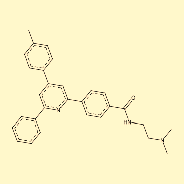 Cc1ccc(-c2cc(-c3ccccc3)nc(-c3ccc(C(=O)NCCN(C)C)cc3)c2)cc1